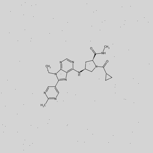 CCn1c(-c2cnc(C)nc2)nc2c(N[C@H]3C[C@@H](C(=O)NC)N(C(=O)C4CC4)C3)ncnc21